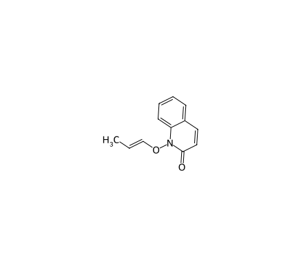 CC=COn1c(=O)ccc2ccccc21